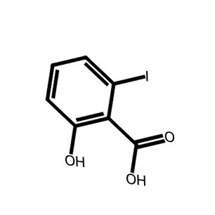 O=C(O)c1c(O)cccc1I